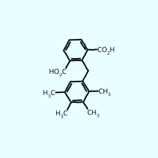 Cc1cc(Cc2c(C(=O)O)cccc2C(=O)O)c(C)c(C)c1C